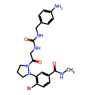 CNC(=O)c1ccc(Br)c(N2CCCN2C(=O)CNC(=O)NCc2ccc(N)cc2)c1